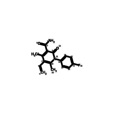 C=Cc1c(C)c(C(N)=O)c(=O)n(-c2ccc(F)cc2)c1C